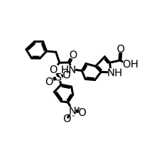 O=C(O)c1cc2cc(NC(=O)C(Cc3ccccc3)OS(=O)(=O)c3ccc([N+](=O)[O-])cc3)ccc2[nH]1